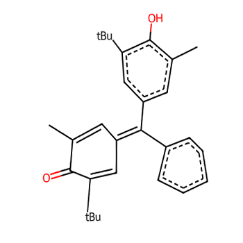 CC1=CC(=C(c2ccccc2)c2cc(C)c(O)c(C(C)(C)C)c2)C=C(C(C)(C)C)C1=O